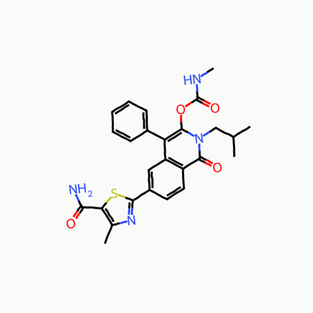 CNC(=O)Oc1c(-c2ccccc2)c2cc(-c3nc(C)c(C(N)=O)s3)ccc2c(=O)n1CC(C)C